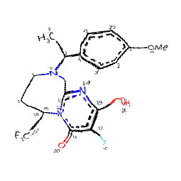 COc1ccc(C(C)N2CC[C@H](C(F)(F)F)n3c2nc(O)c(F)c3=O)cc1